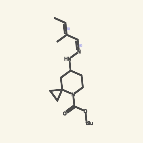 C/C=C(C)/C=N\NC1CCN(C(=O)OC(C)(C)C)C2(CC2)C1